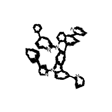 c1ccc(-c2ccnc(N3c4cc5c(cc4-c4ccc(-c6ccccn6)c6cccc3c46)c3cc(-c4ccccn4)ccc3n5-c3cc(-c4ccccc4)ccn3)c2)cc1